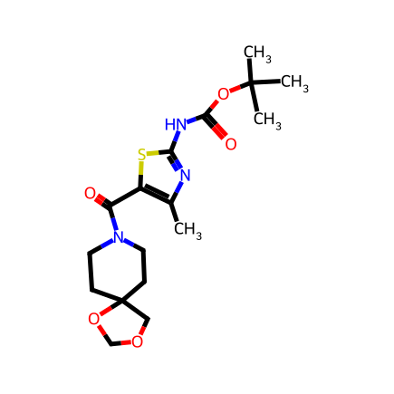 Cc1nc(NC(=O)OC(C)(C)C)sc1C(=O)N1CCC2(CC1)COCO2